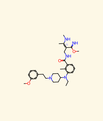 CCN(c1cccc(C(=O)NC/C(C(=N)OC)=C(\C)NC)c1C)C1CCN(CCc2cccc(OC)c2)CC1